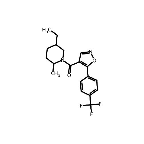 CCC1CCC(C)N(C(=O)c2cnoc2-c2ccc(C(F)(F)F)cc2)C1